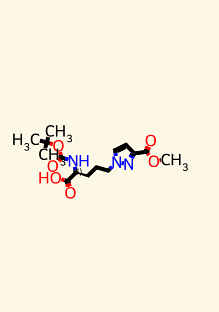 COC(=O)c1ccn(CCC[C@H](NC(=O)OC(C)(C)C)C(=O)O)n1